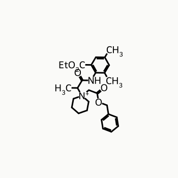 CCOC(=O)c1cc(C)cc(C)c1NC(=O)C(C)[N+]1(CC(=O)OCc2ccccc2)CCCCC1